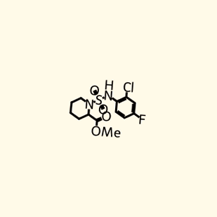 COC(=O)C1CCCCN1S(=O)(=O)Nc1ccc(F)cc1Cl